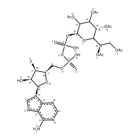 CC(=O)OC[C@@H](OC(C)=O)C1O[C@@H](OP(=O)(O)OP(O)(=S)OC[C@H]2O[C@@H](n3cnc4c(N)ncnc43)[C@@H](O)[C@H]2F)C(OC(C)=O)C(OC(C)=O)[C@@H]1OC(C)=O